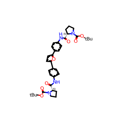 CC(C)(C)OC(=O)N1CCC[C@H]1C(=O)Nc1ccc(-c2ccc(-c3ccc(NC(=O)[C@@H]4CCCN4C(=O)OC(C)(C)C)cc3)o2)cc1